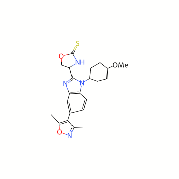 COC1CCC(n2c(C3COC(=S)N3)nc3cc(-c4c(C)noc4C)ccc32)CC1